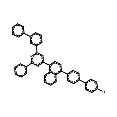 Clc1ccc(-c2ccc(-c3ccc(-c4cc(-c5cccc(-c6ccccc6)c5)nc(-c5ccccc5)n4)c4ccccc34)cc2)cc1